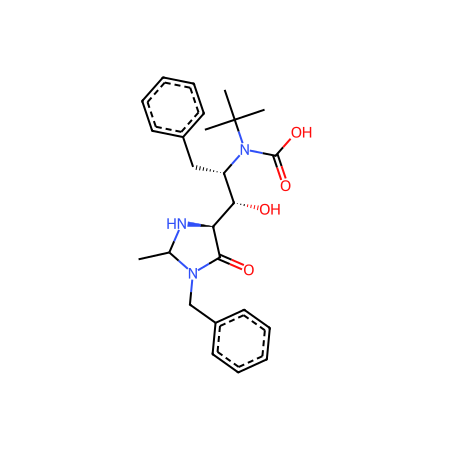 CC1N[C@@H]([C@@H](O)[C@H](Cc2ccccc2)N(C(=O)O)C(C)(C)C)C(=O)N1Cc1ccccc1